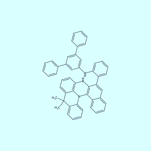 CC1(C)c2ccccc2N2c3c(cccc31)Bc1c(-c3ccccc3Nc3cc(-c4ccccc4)cc(-c4ccccc4)c3)cc3ccccc3c12